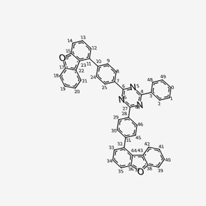 c1ccc(-c2nc(-c3ccc(-c4cccc5oc6ccccc6c45)cc3)nc(-c3ccc(-c4cccc5oc6ccccc6c45)cc3)n2)cc1